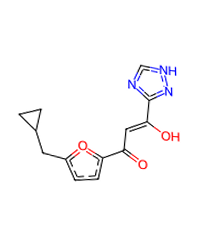 O=C(C=C(O)c1nc[nH]n1)c1ccc(CC2CC2)o1